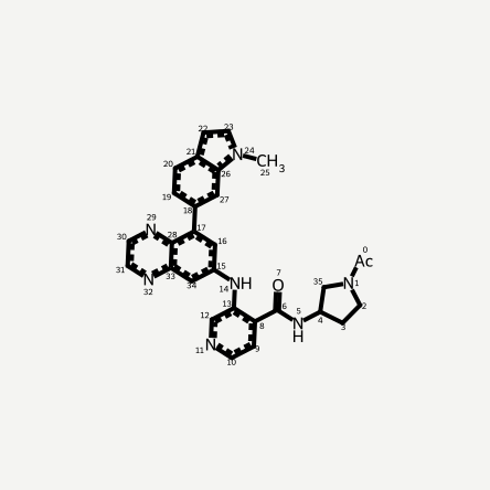 CC(=O)N1CCC(NC(=O)c2ccncc2Nc2cc(-c3ccc4ccn(C)c4c3)c3nccnc3c2)C1